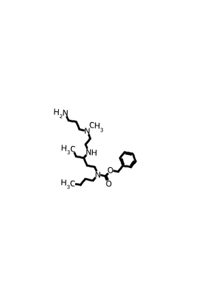 CCCCN(CCC(CC)NCCN(C)CCCN)C(=O)OCc1ccccc1